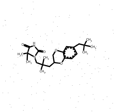 CC(C)(C)Cc1ccc2c(c1)OCC(CC(C)(C)CN1C(=O)NC(=O)C1(C)C)O2